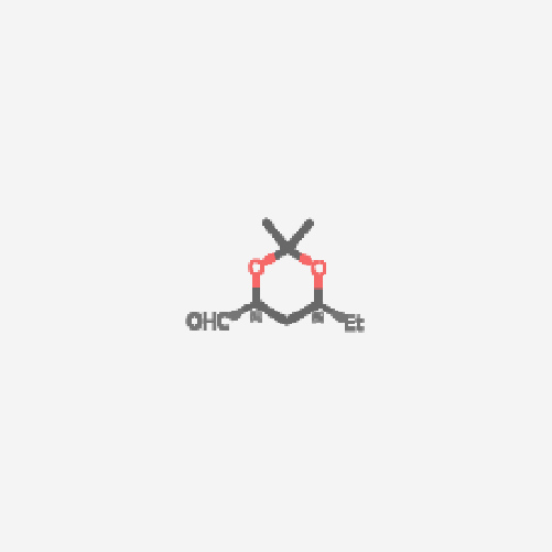 CC[C@H]1C[C@@H](C=O)OC(C)(C)O1